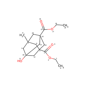 CCOC(=O)C12CC3(C)CC(O)(C1)CC(C(=O)OCC)(C3)C2